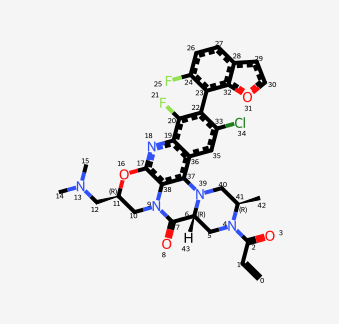 C=CC(=O)N1C[C@@H]2C(=O)N3C[C@@H](CN(C)C)Oc4nc5c(F)c(-c6c(F)ccc7ccoc67)c(Cl)cc5c(c43)N2C[C@H]1C